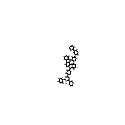 c1ccc(C2=NC(c3ccc(-n4c5ccccc5c5c4ccc4c6ccccc6n(-c6cccc(-c7cccc(-c8ccccc8)n7)c6)c45)cc3)=NC(c3ccccc3)N2)cc1